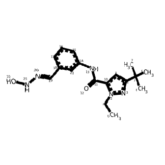 CCn1nc(C(C)(C)C)cc1C(=O)Nc1cccc(C=NNO)c1